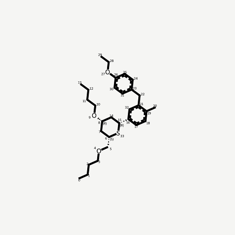 CCCCOC[C@@H]1C[C@H](OCCCC)C[C@H](c2ccc(C)c(Cc3ccc(OCC)cc3)c2)S1